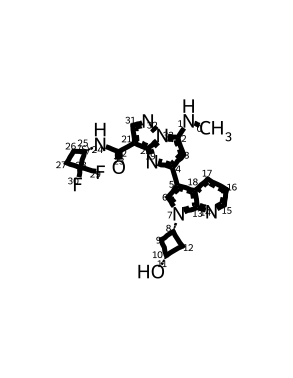 CNc1cc(-c2cn([C@H]3C[C@@H](O)C3)c3ncccc23)nc2c(C(=O)N[C@H]3CCC3(F)F)cnn12